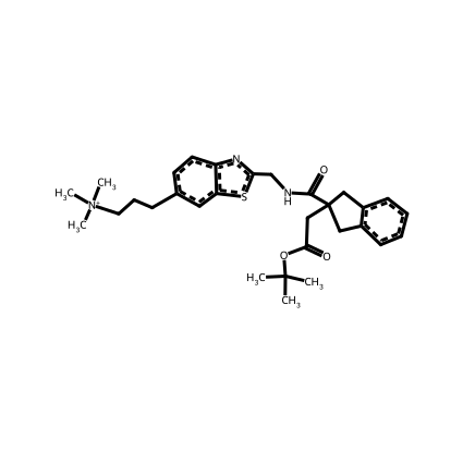 CC(C)(C)OC(=O)CC1(C(=O)NCc2nc3ccc(CCC[N+](C)(C)C)cc3s2)Cc2ccccc2C1